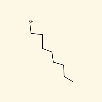 C[CH]CCCCCCS